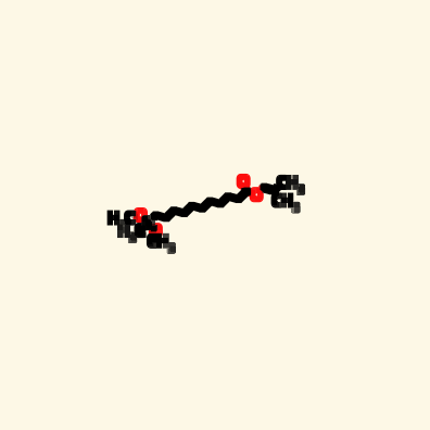 CO[Si](C)(CCCCCCCCCCC(=O)OC=C(C)C)OC